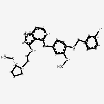 COc1cc(Nc2nccc3[nH]nc(OCCN4CCC[C@@H]4CO)c23)ccc1OCc1cccc(F)c1